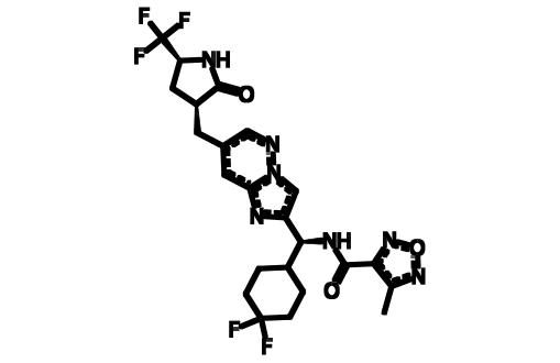 Cc1nonc1C(=O)N[C@H](c1cn2ncc(C[C@H]3C[C@@H](C(F)(F)F)NC3=O)cc2n1)C1CCC(F)(F)CC1